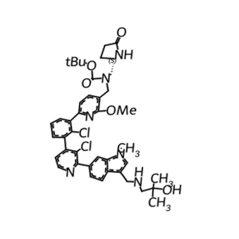 COc1nc(-c2cccc(-c3ccnc(-c4ccc5c(CNCC(C)(C)O)cn(C)c5c4)c3Cl)c2Cl)ccc1CN(C[C@@H]1CCC(=O)N1)C(=O)OC(C)(C)C